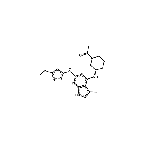 CCn1cc(Nc2nc(N[C@@H]3CCCN(C(C)=O)C3)c3c(C)c[nH]c3n2)cn1